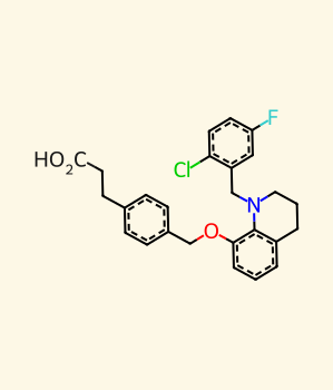 O=C(O)CCc1ccc(COc2cccc3c2N(Cc2cc(F)ccc2Cl)CCC3)cc1